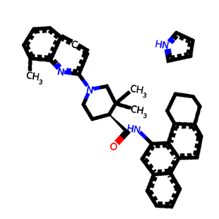 Cc1cccc2ccc(N3CC[C@H](C(=O)Nc4cc5ccccc5c5ccc6c(c45)CCCC6)C(C)(C)C3)nc12.c1cc[nH]c1